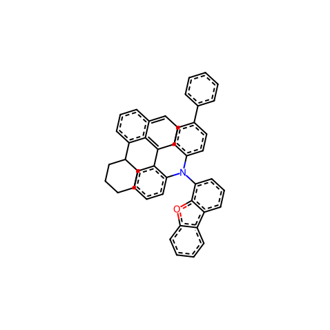 C1=c2cccc(C3CCCCC3)c2=C(c2ccccc2N(c2ccc(-c3ccccc3)cc2)c2cccc3c2oc2ccccc23)CC1